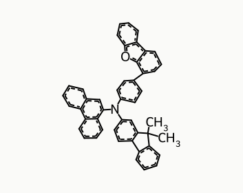 CC1(C)c2ccccc2-c2ccc(N(c3ccc(-c4cccc5c4oc4ccccc45)cc3)c3cc4ccccc4c4ccccc34)cc21